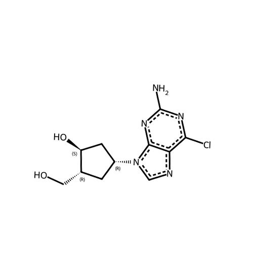 Nc1nc(Cl)c2ncn([C@@H]3C[C@H](CO)[C@@H](O)C3)c2n1